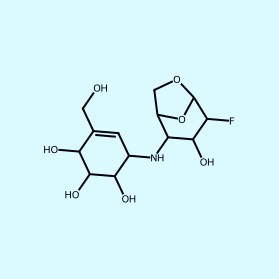 OCC1=CC(NC2C3COC(O3)C(F)C2O)C(O)C(O)C1O